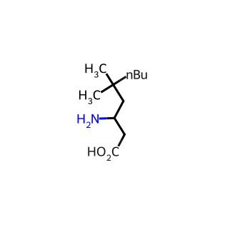 CCCCC(C)(C)CC(N)CC(=O)O